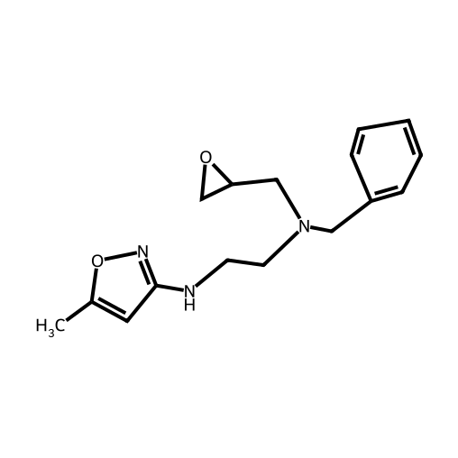 Cc1cc(NCCN(Cc2ccccc2)CC2CO2)no1